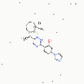 C=C(c1cnc(-c2ccc(-n3ccnc3)cc2O)nn1)[C@@H]1CCCC[C@](C)(CC)[C@@H]1F